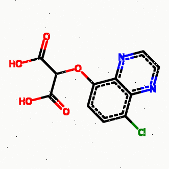 O=C(O)C(Oc1ccc(Cl)c2nccnc12)C(=O)O